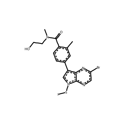 Cc1cc(-c2cn(SI)c3ncc(Br)nc23)ccc1C(=O)N(C)CCO